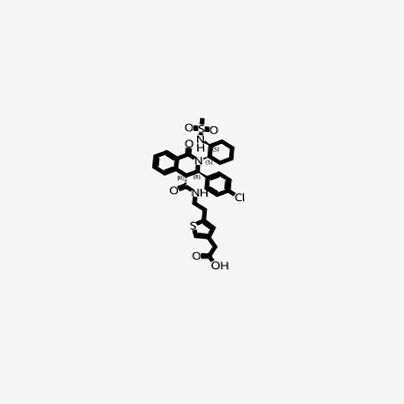 CS(=O)(=O)N[C@H]1CCCC[C@@H]1N1C(=O)c2ccccc2[C@@H](C(=O)NCCc2cc(CC(=O)O)cs2)[C@@H]1c1ccc(Cl)cc1